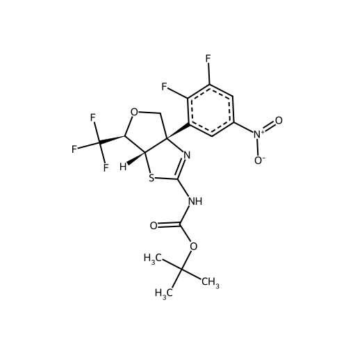 CC(C)(C)OC(=O)NC1=N[C@@]2(c3cc([N+](=O)[O-])cc(F)c3F)CO[C@H](C(F)(F)F)[C@H]2S1